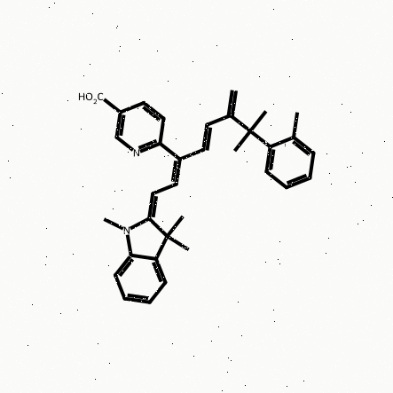 C=C(/C=C/C(=C/C=C1/N(C)c2ccccc2C1(C)C)c1ccc(C(=O)O)cn1)C(C)(C)c1ccccc1C